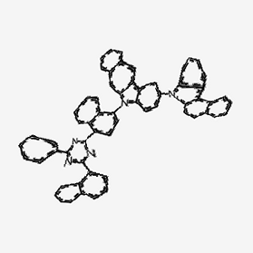 c1ccc(-c2nc(-c3cccc4ccccc34)nc(-c3ccc(-n4c5ccc(-n6c7ccccc7c7c8ccccc8ccc76)cc5c5cc6ccccc6cc54)c4ccccc34)n2)cc1